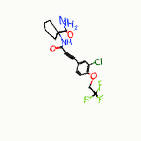 NC(=O)C1(NC(=O)C#Cc2ccc(OCC(F)(F)F)c(Cl)c2)CCCC1